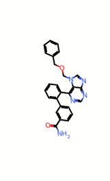 NC(=O)c1cccc(-c2ccccc2-c2ncnc3ncn(COCc4ccccc4)c23)c1